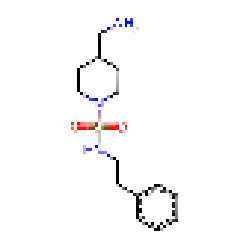 NCC1CCN(S(=O)(=O)NCCc2ccccc2)CC1